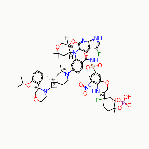 CC(C)Oc1ccccc1[C@@H]1COCCN1C1C[C@]2(CCN(c3ccc(C(=O)NS(=O)(=O)c4cc5c(c([N+](=O)[O-])c4)N[C@H](C4(F)CCC(C)(OP(=O)(O)O)CC4)CO5)c(N4c5cc6c(F)c[nH]c6nc5O[C@H]5COC(C)(C)C[C@@H]54)c3)[C@H](C)C2)[C@H]1C